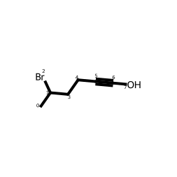 CC(Br)CCC#CO